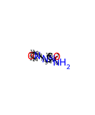 NC(=O)N1CCN(CCN2CCOCC2)CC1